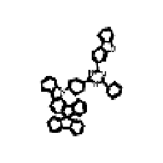 C1=C(c2nc(C3=CC=C(n4c5ccccc5c5ccc6c(c54)-c4ccccc4C64c5ccccc5-c5ccccc54)CC3)nc(-c3ccccc3)n2)C=C2Oc3ccccc3C2C1